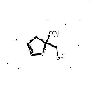 O=C(O)C1(CO)CC=CO1